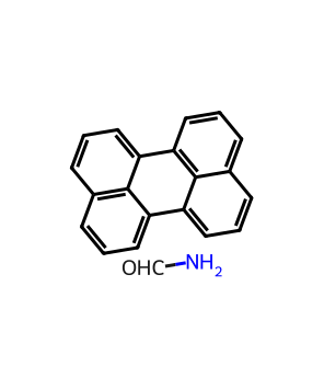 NC=O.c1cc2cccc3c4cccc5cccc(c(c1)c23)c54